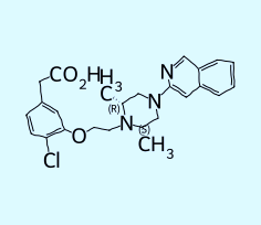 C[C@@H]1CN(c2cc3ccccc3cn2)C[C@H](C)N1CCOc1cc(CC(=O)O)ccc1Cl